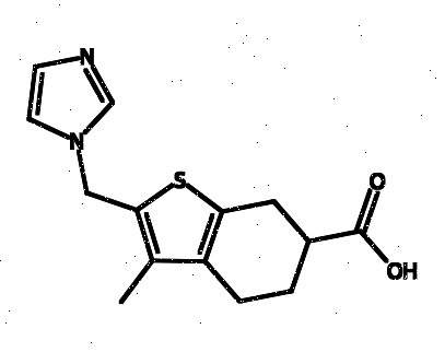 Cc1c(Cn2ccnc2)sc2c1CCC(C(=O)O)C2